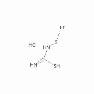 CCSNC(=N)S.Cl